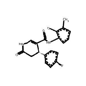 Cc1cccc(NC(=O)C2=CNC(=O)C[C@H]2c2ccc(F)cc2)c1Cl